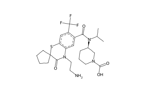 CC(C)N(C(=O)c1cc2c(cc1C(F)(F)F)SC1(CCCC1)C(=O)N2CCN)[C@@H]1CCCN(C(=O)O)C1